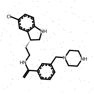 C=C(NCC[C@H]1CNc2ccc(Cl)cc21)c1cccc(CN2CCNCC2)c1